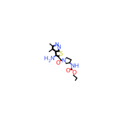 CCCOC(=O)NC1CCN(C(=O)c2sc3nnc(C)c(C)c3c2N)C1